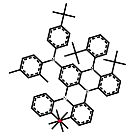 Cc1ccc(N(c2ccc(C(C)(C)C)cc2)c2cc3c4c(c2)N(c2ccccc2C(C)(C)C)c2c(cccc2C(C)(C)C)B4c2cccc(C(C)(C)C)c2N3c2ccccc2C(C)(C)C)c(C)c1